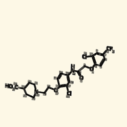 O=C(COc1ccc(C(F)(F)F)cc1Cl)Nc1ccc(OCCN2CCC(C(=O)O)CC2)c(Cl)c1